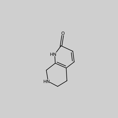 O=c1ccc2c([nH]1)CNCC2